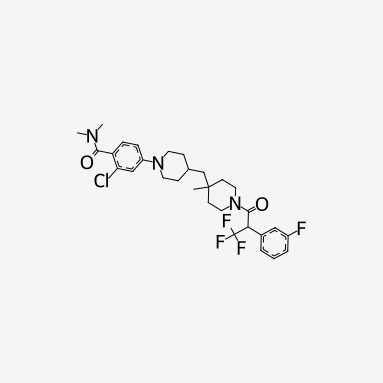 CN(C)C(=O)c1ccc(N2CCC(CC3(C)CCN(C(=O)C(c4cccc(F)c4)C(F)(F)F)CC3)CC2)cc1Cl